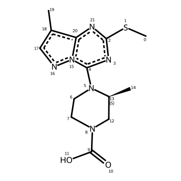 CSc1nc(N2CCN(C(=O)O)C[C@@H]2C)n2ncc(C)c2n1